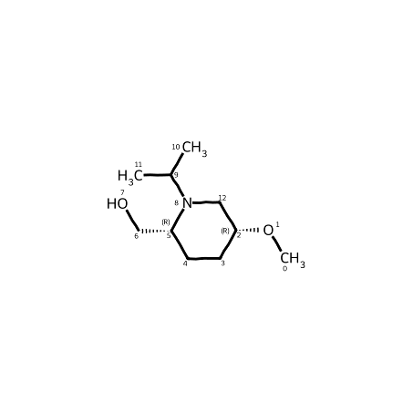 CO[C@@H]1CC[C@H](CO)N(C(C)C)C1